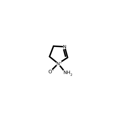 N[N+]1([O-])C=NCC1